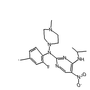 [CH]c1ccc(N(c2ncc([N+](=O)[O-])c(NC(C)C)n2)N2CCN(C)CC2)c(F)c1